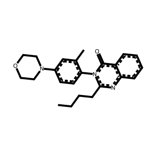 CCCCc1nc2ccccc2c(=O)n1-c1ccc(N2CCOCC2)cc1C